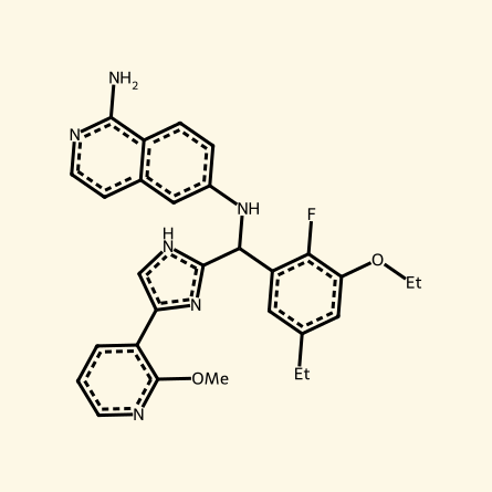 CCOc1cc(CC)cc(C(Nc2ccc3c(N)nccc3c2)c2nc(-c3cccnc3OC)c[nH]2)c1F